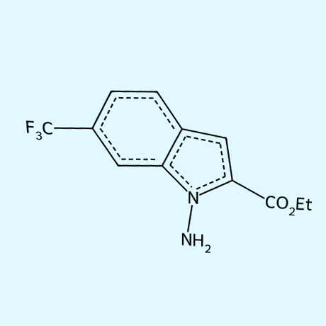 CCOC(=O)c1cc2ccc(C(F)(F)F)cc2n1N